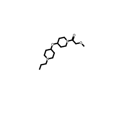 CCCN1CCC(OC2CCN(C(=O)COC)CC2)CC1